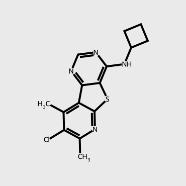 Cc1nc2sc3c(NC4CCC4)ncnc3c2c(C)c1Cl